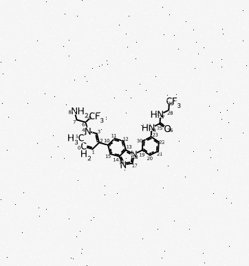 C=C/C(=C\N(C)C(CN)C(F)(F)F)c1ccc2c(c1)ncn2-c1cccc(NC(=O)NCC(F)(F)F)c1